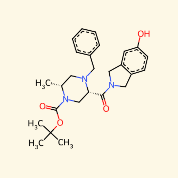 C[C@@H]1CN(Cc2ccccc2)[C@H](C(=O)N2Cc3ccc(O)cc3C2)CN1C(=O)OC(C)(C)C